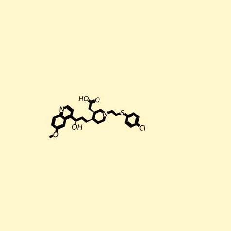 COc1ccc2nccc([C@@H](O)CC[C@@H]3CCN(CCSc4ccc(Cl)cc4)C[C@@H]3CC(=O)O)c2c1